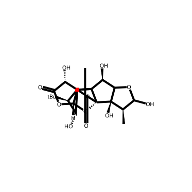 C[C@@H]1C(O)OC2[C@H](O)C34C5OC(=O)[C@]3(O[C@@H]3OC(=O)[C@H](O)C34[C@H](C(C)(C)C)[C@H]5O)[C@]21O